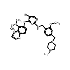 COc1cc(CN2CCN(C)CC2)ccc1CNc1ncc(Br)c(Nc2ccc3nccnc3c2N(C)SC)n1